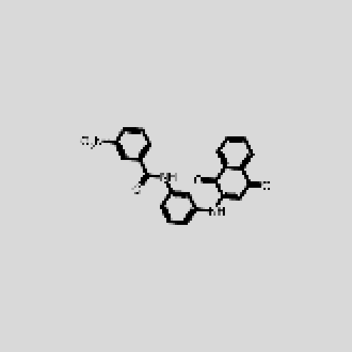 O=C(Nc1cccc(NC2=CC(=O)c3ccccc3C2=O)c1)c1cccc([N+](=O)[O-])c1